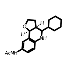 CC(=O)Nc1ccc2c(c1)[C@H]1OCC[C@H]1C(C1CCCCC1)N2